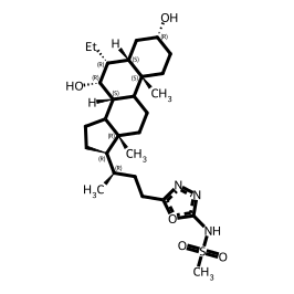 CC[C@H]1[C@@H](O)[C@H]2C3CC[C@H]([C@H](C)CCc4nnc(NS(C)(=O)=O)o4)[C@@]3(C)CCC2[C@@]2(C)CC[C@@H](O)C[C@@H]12